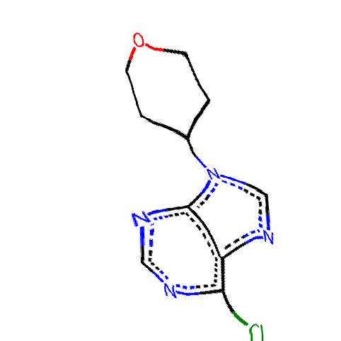 Clc1ncnc2c1ncn2C1CCOCC1